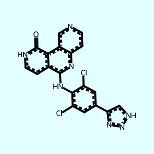 O=c1[nH]ccc2c(Nc3c(Cl)cc(-c4c[nH]nn4)cc3Cl)nc3ccncc3c12